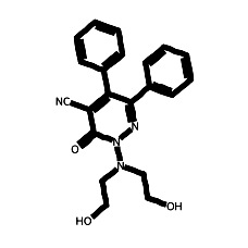 N#Cc1c(-c2ccccc2)c(-c2ccccc2)nn(N(CCO)CCO)c1=O